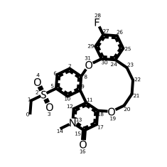 CCS(=O)(=O)c1ccc2c(c1)-c1cn(C)c(=O)cc1OCCCCc1ccc(F)cc1O2